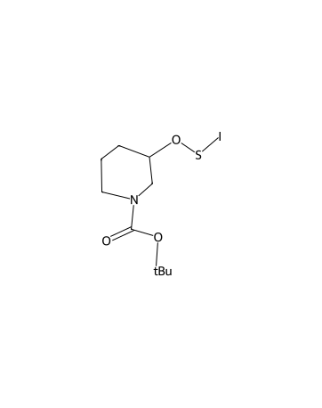 CC(C)(C)OC(=O)N1CCCC(OSI)C1